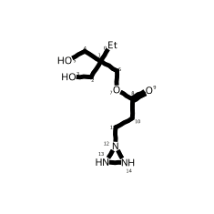 CCC(CO)(CO)COC(=O)CCn1[nH][nH]1